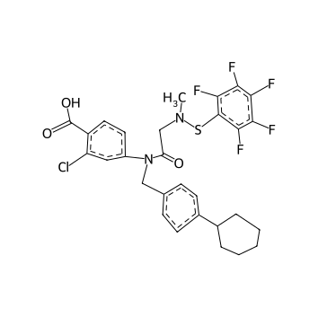 CN(CC(=O)N(Cc1ccc(C2CCCCC2)cc1)c1ccc(C(=O)O)c(Cl)c1)Sc1c(F)c(F)c(F)c(F)c1F